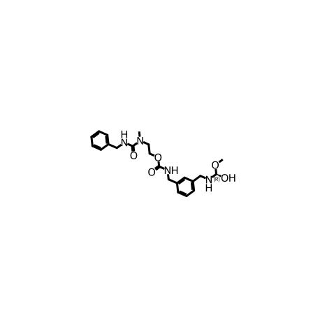 CO[C@@H](O)NCc1cccc(CNC(=O)OCCN(C)C(=O)NCc2ccccc2)c1